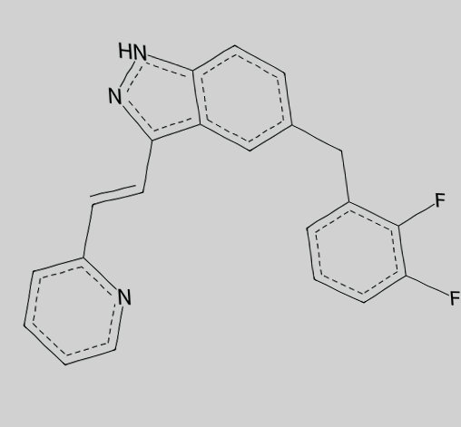 Fc1cccc(Cc2ccc3[nH]nc(C=Cc4ccccn4)c3c2)c1F